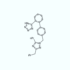 CCCc1nc(CC(C)C)nn1Cc1ccc(-c2ccccc2-c2nnn[nH]2)cc1